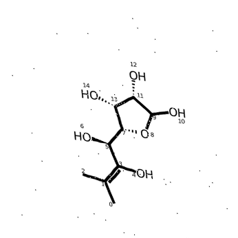 CC(C)=C(O)[C@@H](O)[C@H]1OC(O)[C@@H](O)[C@H]1O